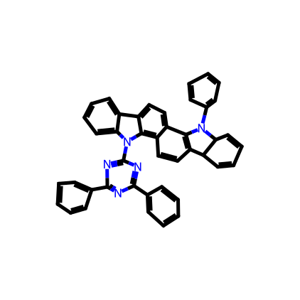 C1=CC2c3ccc4c(ccc5c6ccccc6n(-c6nc(-c7ccccc7)nc(-c7ccccc7)n6)c45)c3N(c3ccccc3)C2C=C1